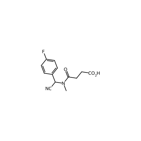 CN(C(=O)CCC(=O)O)C(C#N)c1ccc(F)cc1